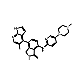 Cc1cnc2[nH]ccc2c1-c1ccc(Nc2ccc(N3CCN(C)CC3)cn2)c2c1CNC2=O